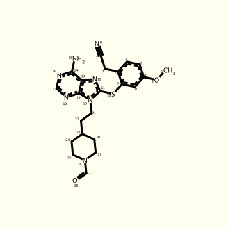 COc1ccc(CC#N)c(Sc2nc3c(N)ncnc3n2CCC2CCN(C=O)CC2)c1